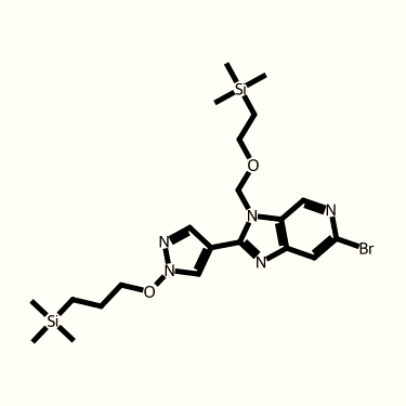 C[Si](C)(C)CCCOn1cc(-c2nc3cc(Br)ncc3n2COCC[Si](C)(C)C)cn1